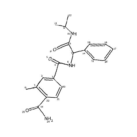 Cc1cc(C(=O)NC(C(=O)NC(C)C)c2ccccc2)ccc1C(N)=O